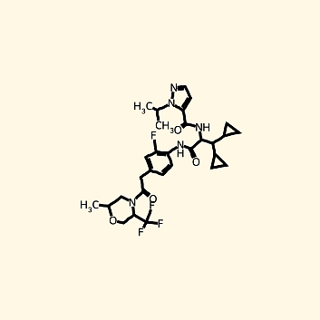 CC1CN(C(=O)Cc2ccc(NC(=O)C(NC(=O)c3ccnn3C(C)C)C(C3CC3)C3CC3)c(F)c2)C(C(F)(F)F)CO1